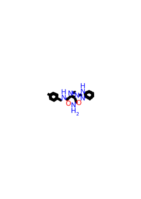 Cc1ccc(CNC(=O)c2ncn(-c3nc4ccccc4[nH]3)c2C(N)=O)cc1